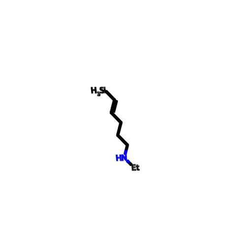 CCNCCCC=C[SiH3]